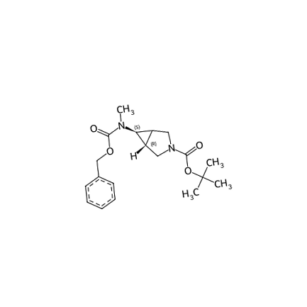 CN(C(=O)OCc1ccccc1)[C@H]1C2CN(C(=O)OC(C)(C)C)C[C@@H]21